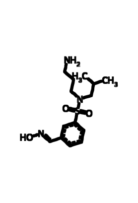 CC(C)CN(CCCN)S(=O)(=O)c1cccc(/C=N/O)c1